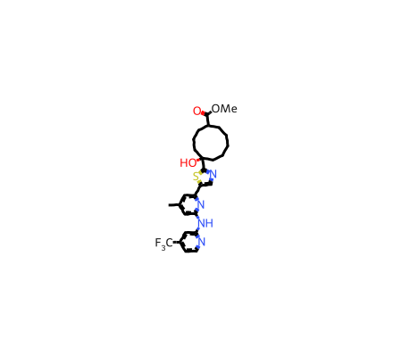 COC(=O)C1CCCCCC(O)(c2ncc(-c3cc(C)cc(Nc4cc(C(F)(F)F)ccn4)n3)s2)CCC1